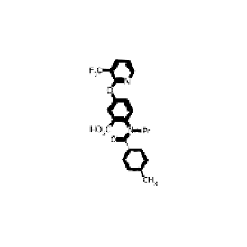 CC(C)N(c1ccc(Oc2ncccc2C(F)(F)F)cc1C(=O)O)C(=O)[C@H]1CC[C@H](C)CC1